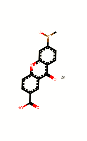 C[S+]([O-])c1ccc2c(=O)c3cc(C(=O)O)ccc3oc2c1.[Zn]